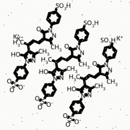 CC(=CC=C1C(=O)N(c2ccc(S(=O)(=O)O)cc2)N=C1C)c1c(C)nn(-c2ccc(S(=O)(=O)[O-])cc2)c1O.CC(=CC=C1C(=O)N(c2ccc(S(=O)(=O)O)cc2)N=C1C)c1c(C)nn(-c2ccc(S(=O)(=O)[O-])cc2)c1O.CC(=CC=C1C(=O)N(c2ccc(S(=O)(=O)O)cc2)N=C1C)c1c(C)nn(-c2ccc(S(=O)(=O)[O-])cc2)c1O.[K+].[K+].[K+]